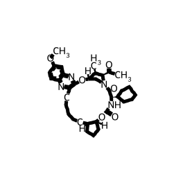 COc1ccc2nc3c(nc2c1)O[C@H]1CN(C(=O)[C@H](C2CCCCC2)NC(=O)O[C@@H]2CCC[C@H]2CCCCC3)[C@H](C(C)=O)[C@@H]1C